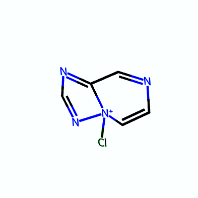 Cl[N+]12C=CN=CC1=NC=N2